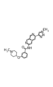 CN1CCC(Oc2cccc(C(=O)Nc3cc4cc(-c5cn(C)nn5)ncc4cn3)c2)CC1